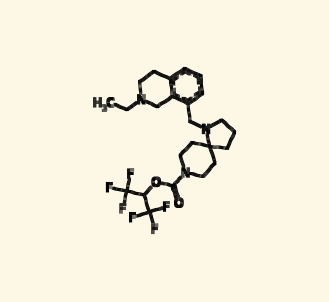 CCN1CCc2cccc(CN3CCCC34CCN(C(=O)OC(C(F)(F)F)C(F)(F)F)CC4)c2C1